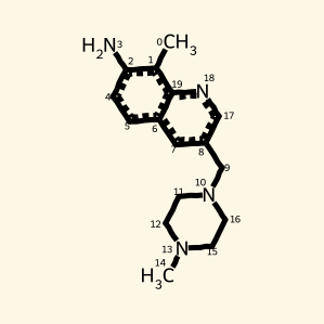 Cc1c(N)ccc2cc(CN3CCN(C)CC3)cnc12